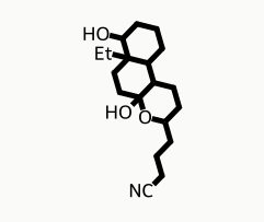 CCC12CCC3(O)OC(CCCC#N)CCC3C1CCCC2O